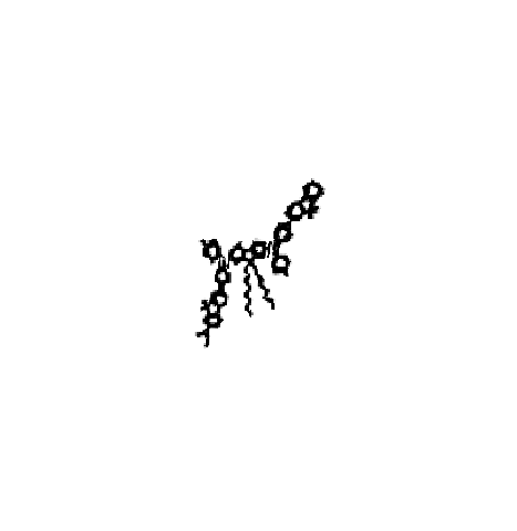 CCCCCCCCC1(CCCCCCCC)c2cc(N(c3ccc(C)cc3)c3ccc(-c4ccc5c(c4)C(C)(C)c4ccccc4-5)cc3)ccc2-c2ccc(N(c3ccc(C)cc3)c3ccc(-c4ccc5c(c4)C(C)(C)c4cc(C(C)CC)ccc4-5)cc3)cc21